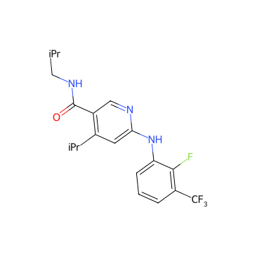 CC(C)CNC(=O)c1cnc(Nc2cccc(C(F)(F)F)c2F)cc1C(C)C